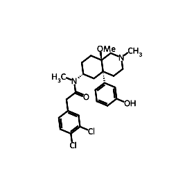 CO[C@]12CC[C@@H](N(C)C(=O)Cc3ccc(Cl)c(Cl)c3)C[C@]1(c1cccc(O)c1)CCN(C)C2